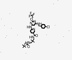 CC(C)(CNC(=O)OC(C)(C)C)CNC(=O)c1ccc(Nc2cc(NCc3ccc(Cl)cc3)nc(OCC(F)(F)F)n2)nc1